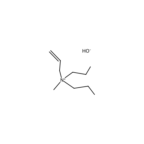 C=CC[N+](C)(CCC)CCC.[OH-]